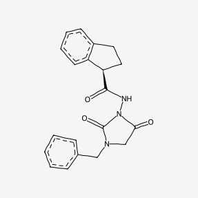 O=C(NN1C(=O)CN(Cc2ccccc2)C1=O)[C@@H]1CCc2ccccc21